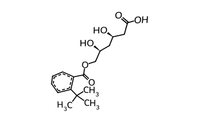 CC(C)(C)c1ccccc1C(=O)OC[C@@H](O)C[C@@H](O)CC(=O)O